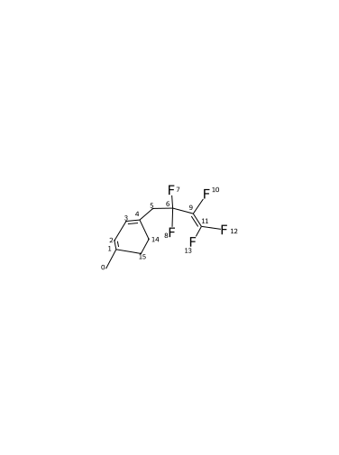 CC1=CC=C(CC(F)(F)C(F)=C(F)F)CC1